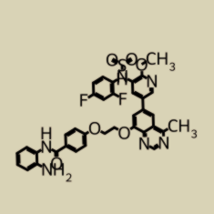 COc1ncc(-c2cc(OCCOc3ccc(C(=O)Nc4ccccc4N)cc3)c3ncnc(C)c3c2)cc1N(c1ccc(F)cc1F)[SH](=O)=O